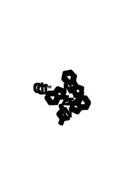 Cc1cc(C)n(C2=Cc3ccccc3[CH]2[Zr+2][CH]2C(n3c4c(c5ccccc53)CCC4)=Cc3ccccc32)c1.[Cl-].[Cl-]